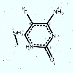 C[SiH3].Nc1nc(=O)[nH]cc1F